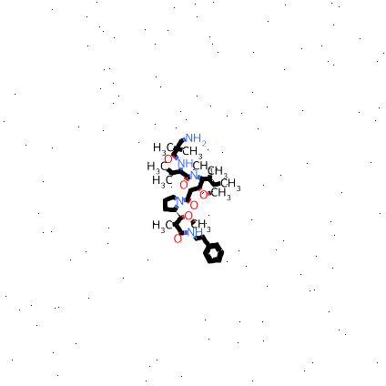 CCC(C)C(C(CC(=O)N1CCC[C@H]1C(OC)C(C)C(=O)NCCc1ccccc1)OC)N(C)C(=O)C(NC(=O)C(C)(C)CN)C(C)C